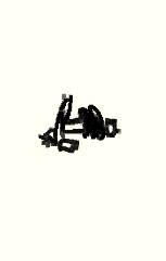 Cc1ccc(S(=O)(=O)n2ccc3c(NC4CCC(C)(C)N(Cc5ccccc5)C4)ncnc32)cc1